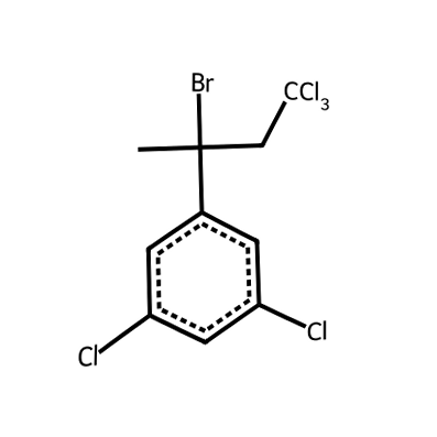 CC(Br)(CC(Cl)(Cl)Cl)c1cc(Cl)cc(Cl)c1